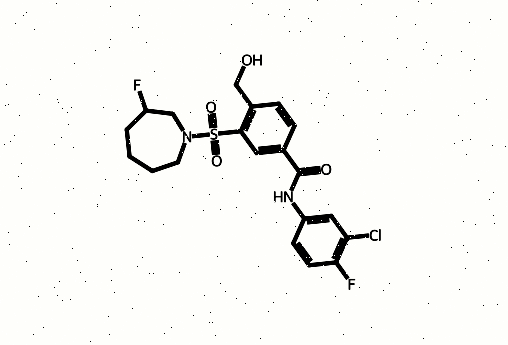 O=C(Nc1ccc(F)c(Cl)c1)c1ccc(CO)c(S(=O)(=O)N2CCCCC(F)C2)c1